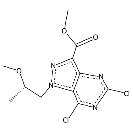 COC(=O)c1nn(C[C@H](C)OC)c2c(Cl)nc(Cl)nc12